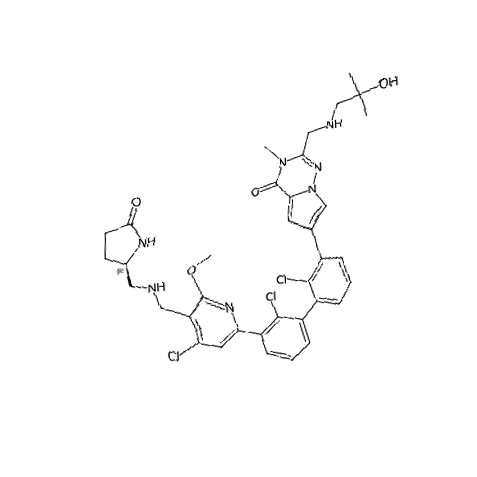 COc1nc(-c2cccc(-c3cccc(-c4cc5c(=O)n(C)c(CNCC(C)(C)O)nn5c4)c3Cl)c2Cl)cc(Cl)c1CNC[C@H]1CCC(=O)N1